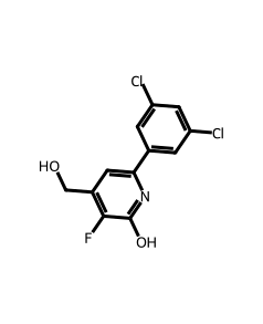 OCc1cc(-c2cc(Cl)cc(Cl)c2)nc(O)c1F